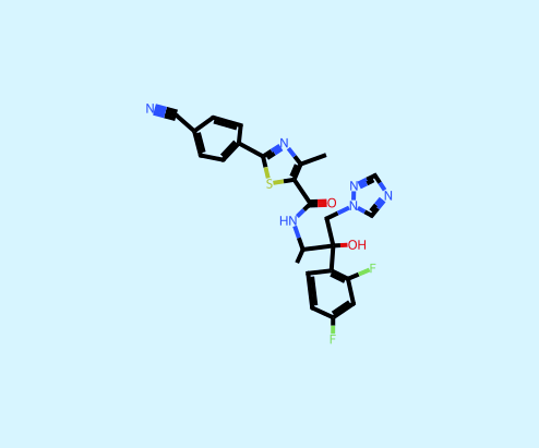 Cc1nc(-c2ccc(C#N)cc2)sc1C(=O)NC(C)C(O)(Cn1cncn1)c1ccc(F)cc1F